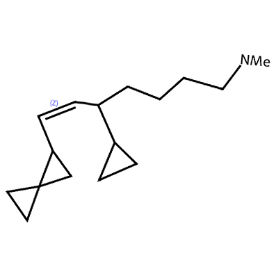 CNCCCCC(/C=C\C1CC12CC2)C1CC1